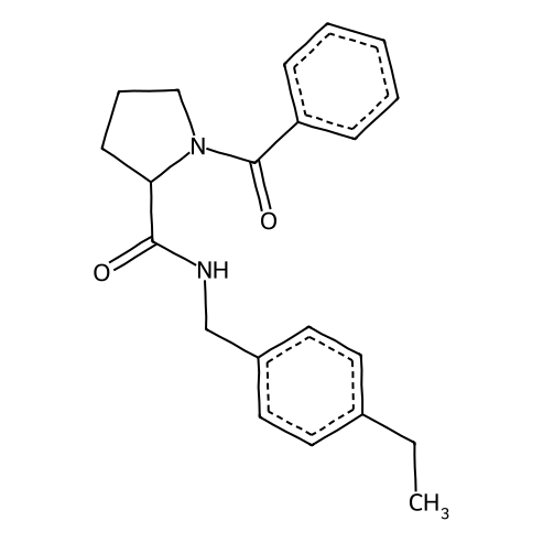 CCc1ccc(CNC(=O)C2CCCN2C(=O)c2ccccc2)cc1